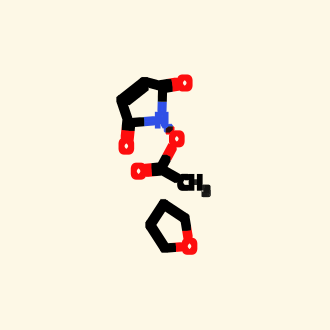 C1CCOC1.CC(=O)ON1C(=O)C=CC1=O